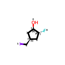 O[C@@H]1C[C@H](CI)C[C@H]1F